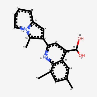 Cc1cc(C)c2nc(-c3cc4ccccn4c3C)cc(C(O)O)c2c1